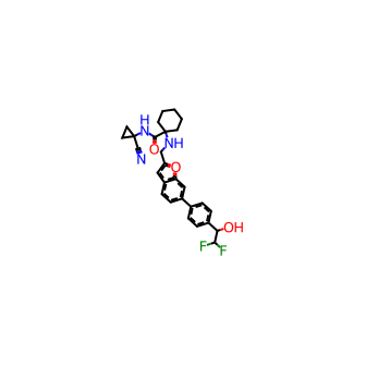 N#CC1(NC(=O)C2(NCc3cc4ccc(-c5ccc(C(O)C(F)F)cc5)cc4o3)CCCCC2)CC1